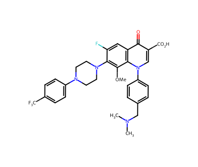 COc1c(N2CCN(c3ccc(C(F)(F)F)cc3)CC2)c(F)cc2c(=O)c(C(=O)O)cn(-c3ccc(CN(C)C)cc3)c12